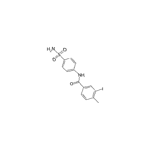 Cc1ccc(C(=O)Nc2ccc(S(N)(=O)=O)cc2)cc1I